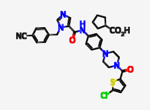 N#Cc1ccc(Cn2cncc2C(=O)Nc2ccc(N3CCN(C(=O)c4ccc(Cl)s4)CC3)cc2)cc1.O=C(O)C1CCCC1